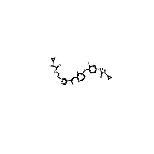 C/C(=C\c1nccc(Oc2ccc(NC(=O)NC3CC3)cc2F)c1C)c1cnn(CCOC(=O)NC2CC2)c1